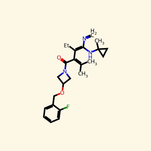 C=N/C(NC1(C)CC1)=C(\CC)C(C(=O)N1CC(OCc2ccccc2F)C1)=C(C)C